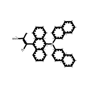 CO/C(C)=C(\C(C)=O)c1c2ccccc2c(N(c2ccc3ccccc3c2)c2ccc3ccccc3c2)c2ccccc12